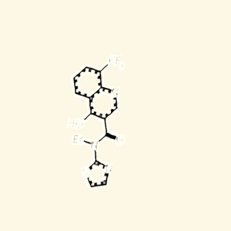 CCN(C(=O)c1cnc2c(C(F)(F)F)cccc2c1O)c1nccs1